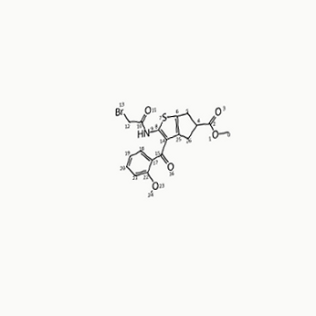 COC(=O)C1Cc2sc(NC(=O)CBr)c(C(=O)c3ccccc3OC)c2C1